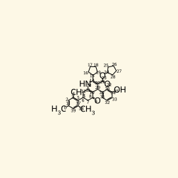 Cc1cc(C)c(C2CC(=O)C3=C(C2)NC(C2CCCC2)=C(C(=O)OC2CCCC2)C3c2cccc(O)c2)c(C)c1